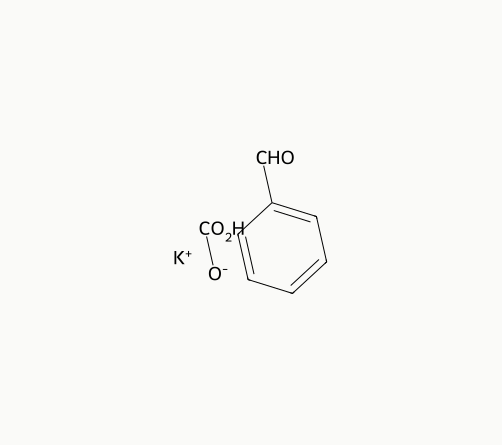 O=C([O-])O.O=Cc1ccccc1.[K+]